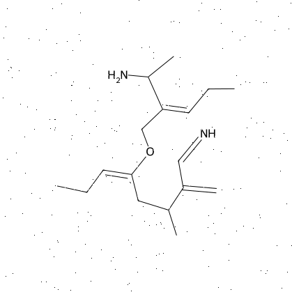 C=C(C=N)C(C)C/C(=C\CC)OC/C(=C/CC)C(C)N